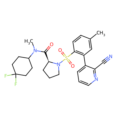 Cc1ccc(S(=O)(=O)N2CCC[C@H]2C(=O)N(C)C2CCC(F)(F)CC2)c(-c2cccnc2C#N)c1